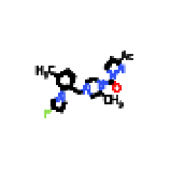 CC(=O)c1ccn(C(=O)N2CCN(Cc3ccc(C)cc3N3CC[C@H](F)C3)C[C@@H]2C)n1